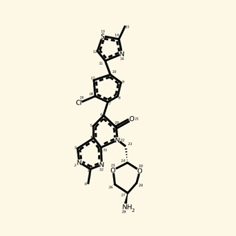 Cc1ncc2cc(-c3ccc(-c4csc(C)n4)cc3Cl)c(=O)n(C[C@H]3OC[C@H](N)CO3)c2n1